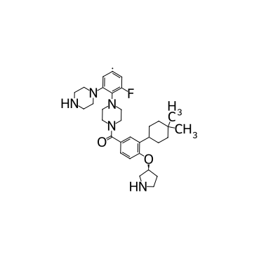 CC1(C)CCC(c2cc(C(=O)N3CCN(c4c(F)c[c]cc4N4CCNCC4)CC3)ccc2O[C@H]2CCNC2)CC1